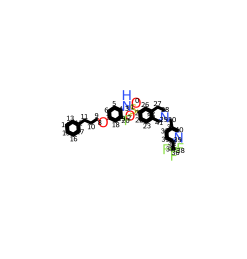 O=S(=O)(Nc1ccc(OCCCc2ccccc2)cc1F)c1ccc2c(c1)CCN(Cc1ccc(C(F)(F)F)nc1)C2